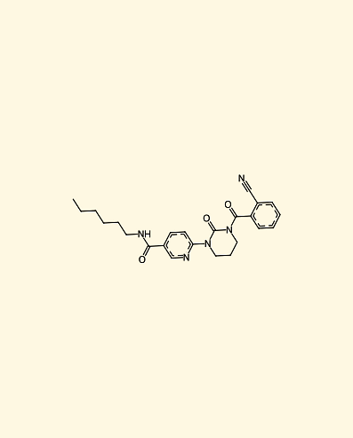 CCCCCCNC(=O)c1ccc(N2CCCN(C(=O)c3ccccc3C#N)C2=O)nc1